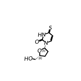 O=c1[nH]c(=S)ccn1[C@@H]1CC[C@H](CO)O1